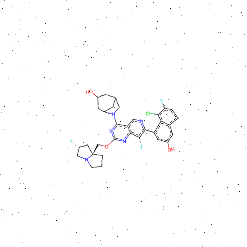 Oc1cc(-c2ncc3c(N4CC5CC(O)CC4C5)nc(OC[C@@]45CCCN4C[C@H](F)C5)nc3c2F)c2c(Cl)c(F)ccc2c1